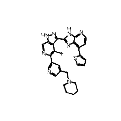 Fc1c(-c2cncc(CN3CCCCC3)c2)ncc2[nH]nc(-c3nc4c(-c5cccs5)ccnc4[nH]3)c12